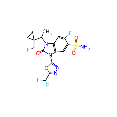 CC(n1c(=O)n(-c2nnc(C(F)F)o2)c2cc(S(N)(=O)=O)c(F)cc21)C1(CF)CC1